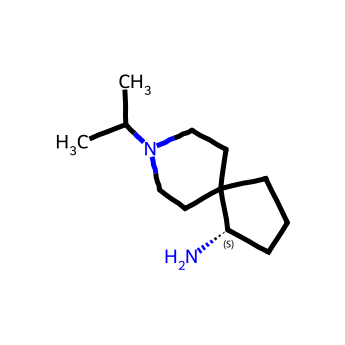 CC(C)N1CCC2(CCC[C@@H]2N)CC1